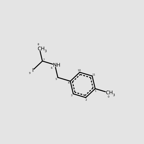 Cc1ccc(CNC(C)I)cc1